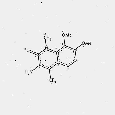 COc1ccc2c(C(F)(F)F)c(N)c(=O)n(C)c2c1OC